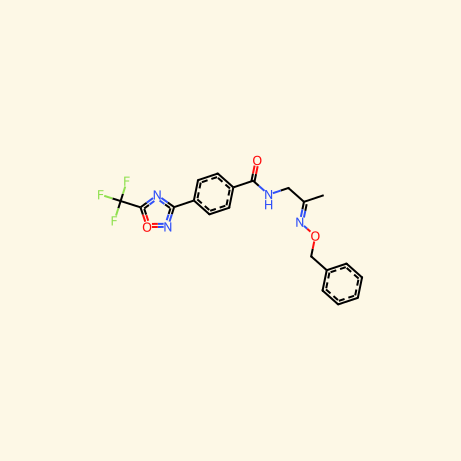 CC(CNC(=O)c1ccc(-c2noc(C(F)(F)F)n2)cc1)=NOCc1ccccc1